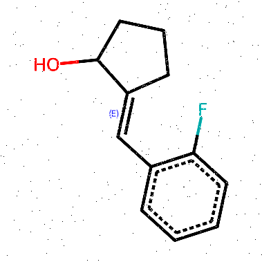 OC1CCC/C1=C\c1ccccc1F